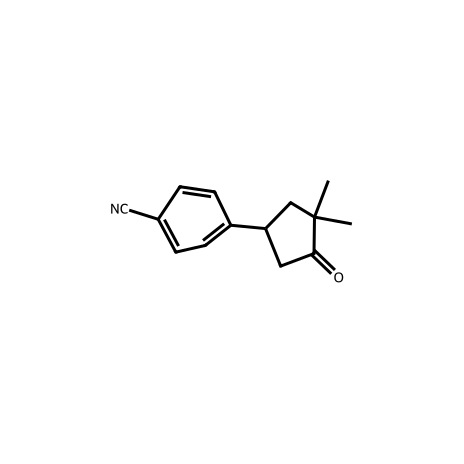 CC1(C)CC(c2ccc(C#N)cc2)CC1=O